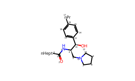 CCCCCCCC(=O)N[C@H](CN1CCCC1)[C@H](O)c1ccc(CCC)cc1